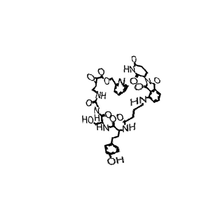 O=C(CNC(=O)C(CO)NC(=O)C(CCc1ccc(O)cc1)NC(=O)CCCNc1cccc2c1C(=O)N(C1CCC(=O)NC1=O)C2=O)NCC1OC1C(=O)OCc1ccccn1